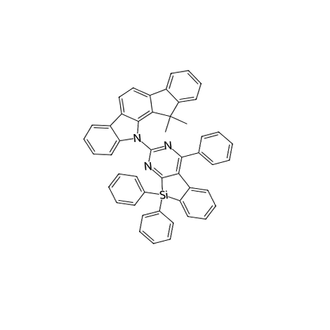 CC1(C)c2ccccc2-c2ccc3c4ccccc4n(-c4nc(-c5ccccc5)c5c(n4)[Si](c4ccccc4)(c4ccccc4)c4ccccc4-5)c3c21